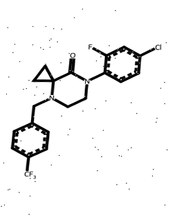 O=C1N(c2ccc(Cl)cc2F)CCN(Cc2ccc(C(F)(F)F)cc2)C12CC2